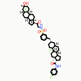 C[C@@]1(O)CC[C@@]2(F)[C@H](CC[C@H]3[C@@H]4CC[C@H](C(=O)CNS(=O)(=O)c5cccc(C[C@H]6CC[C@@]7(F)[C@H](CC[C@H]8C9CC[C@H](C(=O)Nc%10ccc(F)cc%10)[C@@]9(C)CC[C@@H]87)C6)c5)[C@@]4(C)CC[C@@H]32)C1